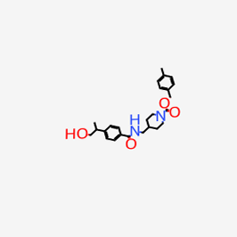 Cc1ccc(COC(=O)N2CCC(CNC(=O)c3ccc(C(C)CO)cc3)CC2)cc1